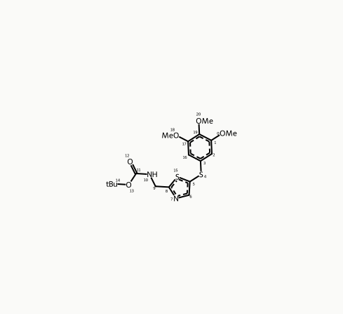 COc1cc(Sc2cnc(CNC(=O)OC(C)(C)C)s2)cc(OC)c1OC